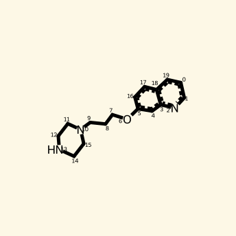 c1cnc2cc(OCCCN3CCNCC3)ccc2c1